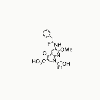 COc1nc2c(cc1NC(F)Cc1ccccc1)c(=O)c(C(=O)O)cn2C(CO)C(C)C